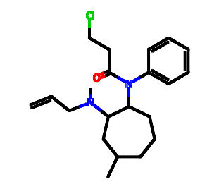 C=CCN(C)C1CC(C)CCCC1N(C(=O)CCCl)c1ccccc1